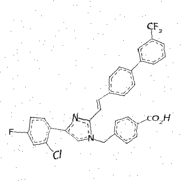 O=C(O)c1ccc(Cn2cc(-c3ccc(F)cc3Cl)nc2C=Cc2ccc(-c3cccc(C(F)(F)F)c3)cc2)cc1